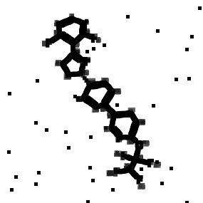 Fc1cccc(F)c1C1=N[C@H](c2ccc(-c3ccc(OC(F)(F)C(F)F)cc3)cc2)CC1